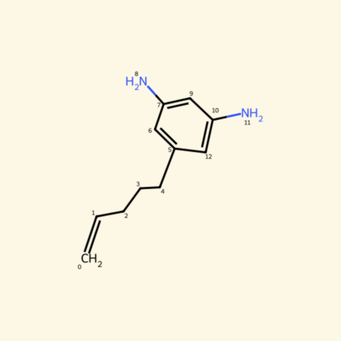 C=CCCCc1cc(N)cc(N)c1